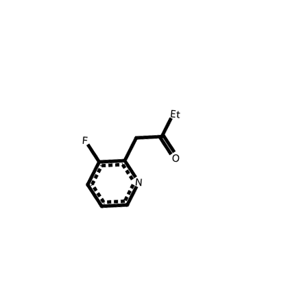 CCC(=O)Cc1ncccc1F